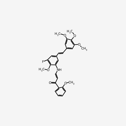 COc1ccccc1C(=O)C=CNc1cc(C=Cc2cc(OC)c(OC)c(OC)c2)cc(F)c1OC